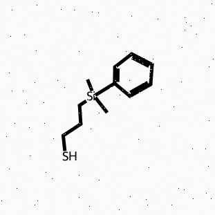 C[Si](C)(CCCS)c1ccccc1